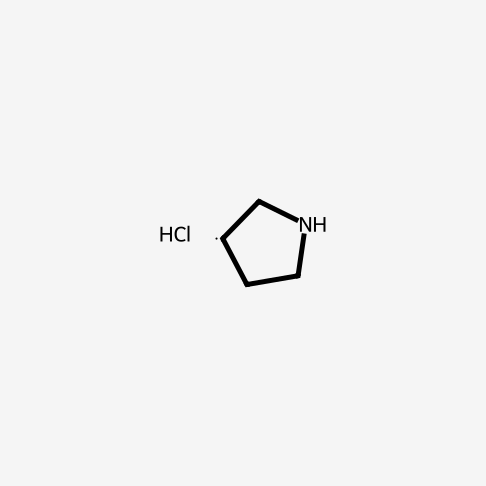 Cl.[CH]1CCNC1